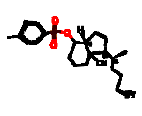 Cc1ccc(S(=O)(=O)OC2CCCC3(C#N)[C@@H]([C@@H](C)CCCC(C)C)CC[C@@H]23)cc1